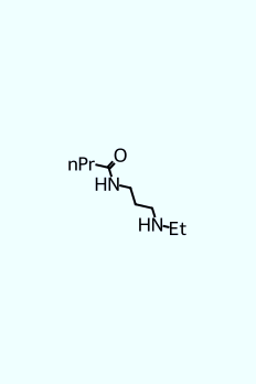 CCCC(=O)NCCCNCC